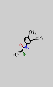 C=C(Br)C(=O)Nc1ccc(C)c(C)c1